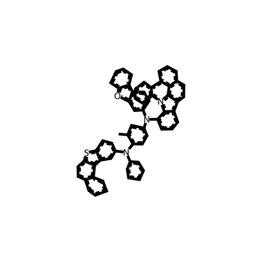 Cc1cc(N(c2ccc3c(c2)oc2ccccc23)c2cccc3c4ccc5cccc6c7ccccc7n(c23)c4c56)ccc1N(c1ccccc1)c1ccc2sc3ccc4ccccc4c3c2c1